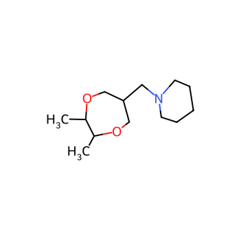 CC1OCC(CN2CCCCC2)COC1C